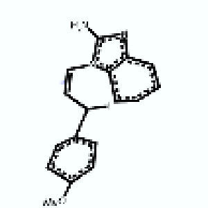 COc1ccc(C(I)/C=C\n2c(N)nc3ccccc32)cc1